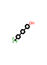 Oc1ccc(-c2ccc(-c3ccc(C(F)(F)F)cc3)cc2)cc1